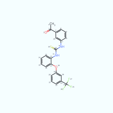 CC(=O)c1cccc(NC(=S)Nc2cc[c]cc2Oc2cccc(C(F)(F)F)c2)c1